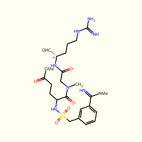 CNC(=N)c1cccc(CS(=O)(=O)NC(CCC(=O)OC)C(=O)N(C)CC(=O)N[C@H](C=O)CCCNC(=N)N)c1